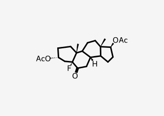 CC(=O)O[C@@H]1CC[C@]2(C)C3CC[C@@]4(C)C(CC[C@@H]4OC(C)=O)[C@@H]3CC(=O)[C@@]2(F)C1